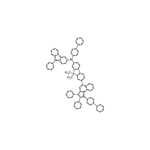 CC1(C)c2cc(-c3cc4c(-c5ccccc5)c(-c5ccccc5)n(-c5ccc(-c6ccccc6)cc5)c4c4ccccc34)ccc2-c2ccc(N(c3ccc(-c4ccccc4)cc3)c3ccc4c(c3)c3ccccc3n4-c3ccccc3)cc21